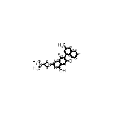 Cc1cc(-c2c(Cl)cc3c(O)nc(N4CC(N(C)C)C4)nc3c2F)c2ccccc2c1